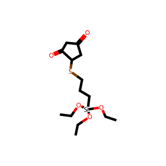 CCO[Si](CCCSC1CC(=O)CC1=O)(OCC)OCC